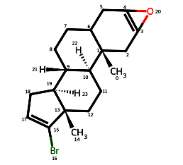 C[C@]12CC3=C(CC1CC[C@@H]1[C@@H]2CC[C@]2(C)C(Br)=CC[C@@H]12)O3